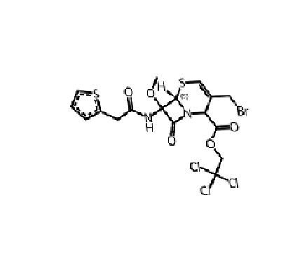 COC1(NC(=O)Cc2cccs2)C(=O)N2C(C(=O)OCC(Cl)(Cl)Cl)C(CBr)=CS[C@H]21